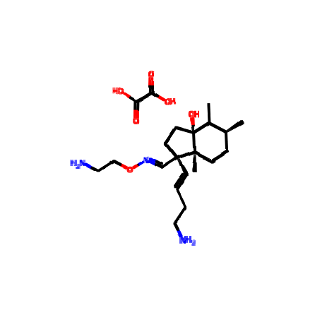 CC1[C@@H](C)CC[C@]2(C)[C@](C=CCCN)(C=NOCCN)CC[C@]12O.O=C(O)C(=O)O